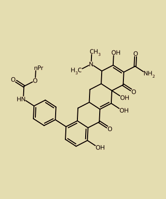 CCCOC(=O)Nc1ccc(-c2ccc(O)c3c2CC2CC4C(N(C)C)C(O)=C(C(N)=O)C(=O)C4(O)C(O)=C2C3=O)cc1